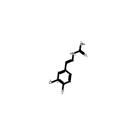 CC(C)(C)C(=O)NC=Cc1ccc(Cl)c(Cl)c1